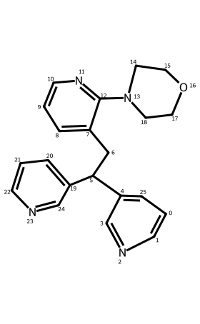 c1cncc(C(Cc2cccnc2N2CCOCC2)c2cccnc2)c1